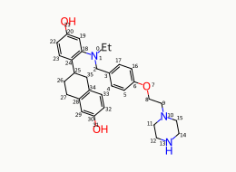 CCN(Cc1ccc(OCCN2CCNCC2)cc1)c1cc(O)ccc1C1CCc2cc(O)ccc2C1